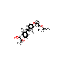 CC(C)OCCC(C)(C)Oc1ccc(C(C)(C)c2ccc(OC(C)CO)cc2)cc1